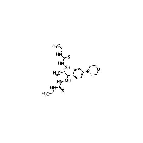 CCNC(=S)NNC(C)C(NNC(=S)NCC)c1ccc(N2CCOCC2)cc1